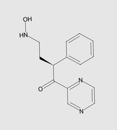 O=C(c1cnccn1)[C@@H](CCNO)c1ccccc1